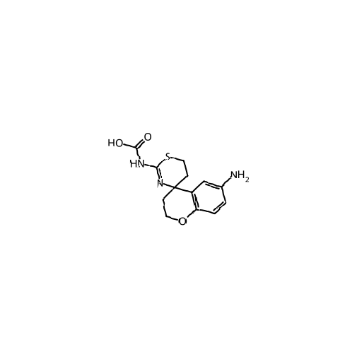 Nc1ccc2c(c1)C1(CCO2)CCSC(NC(=O)O)=N1